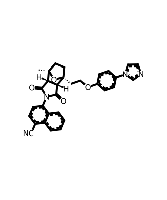 C[C@]12CC[C@](CCOc3ccc(-n4ccnc4)cc3)(O1)[C@@H]1C(=O)N(c3ccc(C#N)c4ccccc34)C(=O)[C@@H]12